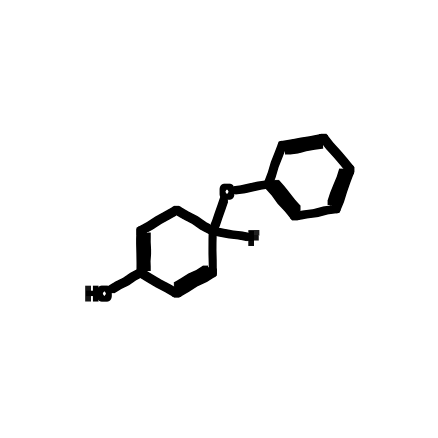 OC1=CCC(F)(Oc2ccccc2)C=C1